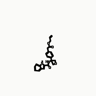 C=CCOC(=O)Cc1ccc(C2(NC(=O)c3cc4ccccc4n3C)COC2)cc1